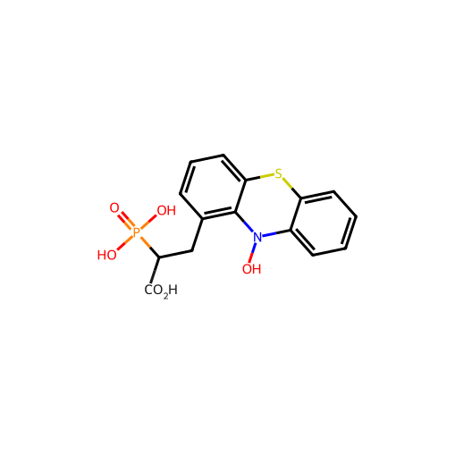 O=C(O)C(Cc1cccc2c1N(O)c1ccccc1S2)P(=O)(O)O